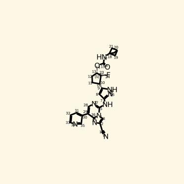 N#Cc1cn2c(Nc3cc([C@@H]4CC[C@H](OC(=O)NC56CC(C5)C6)[C@H]4F)[nH]n3)ncc(-c3cccnc3)c2n1